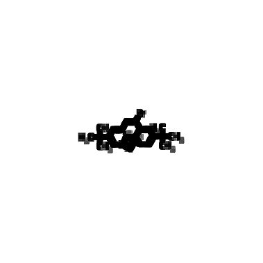 CC(C)(C)C1=CC2=CC3=C4C=C(C(C)(C)C)C=C5C(Br)=CC(=C1)[C@@]23[C@]54C